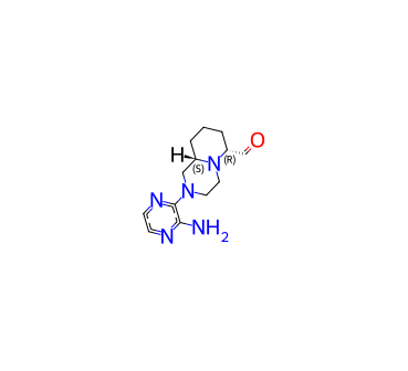 Nc1nccnc1N1CCN2[C@@H](CCC[C@@H]2C=O)C1